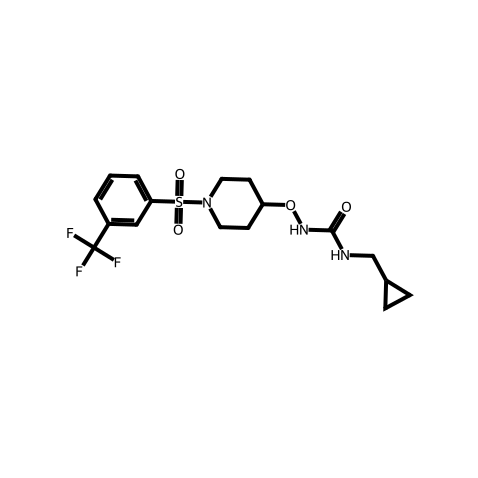 O=C(NCC1CC1)NOC1CCN(S(=O)(=O)c2cccc(C(F)(F)F)c2)CC1